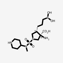 CN(C1CCNCC1)S(=O)(=O)N1C[C@H](CCCB(O)O)[C@](N)(C(=O)O)C1